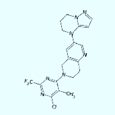 Cc1c(Cl)nc(C(F)(F)F)nc1N1CCc2ncc(N3CCCn4nccc43)cc2C1